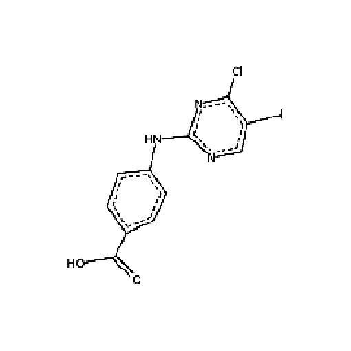 O=C(O)c1ccc(Nc2ncc(I)c(Cl)n2)cc1